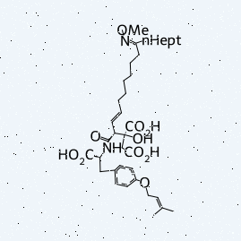 CCCCCCCC(CCCCCC/C=C/[C@H](C(=O)N[C@@H](Cc1ccc(OCC=C(C)C)cc1)C(=O)O)[C@@](O)(CC(=O)O)C(=O)O)=NOC